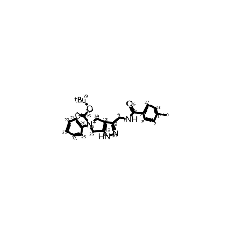 Cc1ccc(C(=O)NCc2n[nH]c3c2C[N+](C(=O)OC(C)(C)C)(c2ccccc2)C3)cc1